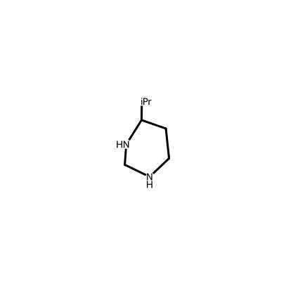 CC(C)C1CCNCN1